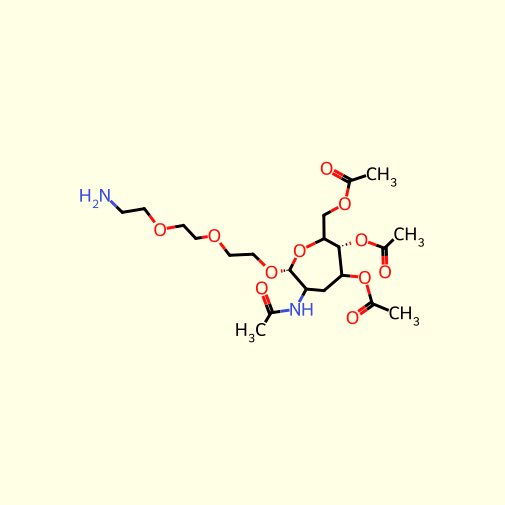 CC(=O)NC1CC(OC(C)=O)[C@@H](OC(C)=O)C(COC(C)=O)O[C@H]1OCCOCCOCCN